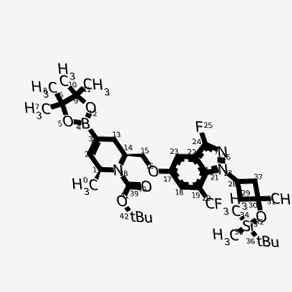 C[C@H]1C=C(B2OC(C)(C)C(C)(C)O2)C[C@@H](COc2cc(C(F)(F)F)c3c(c2)c(F)nn3C2CC(C)(O[Si](C)(C)C(C)(C)C)C2)N1C(=O)OC(C)(C)C